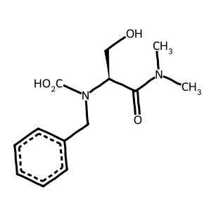 CN(C)C(=O)[C@H](CO)N(Cc1ccccc1)C(=O)O